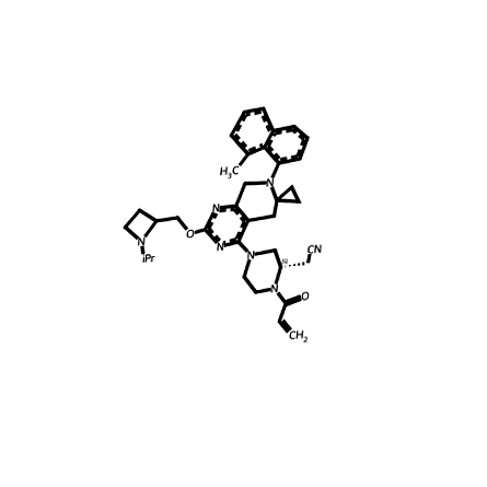 C=CC(=O)N1CCN(c2nc(OCC3CCN3C(C)C)nc3c2CC2(CC2)N(c2cccc4cccc(C)c24)C3)C[C@@H]1CC#N